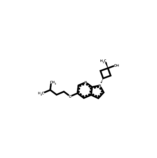 CC(C)CCOc1cnc2c(ccn2[C@H]2C[C@@](C)(O)C2)c1